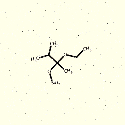 CCOC(C)(O[SiH3])[C](C)C